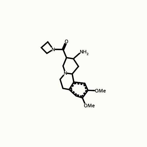 COc1cc2c(cc1OC)C1CC(N)C(C(=O)N3CCC3)CN1CC2